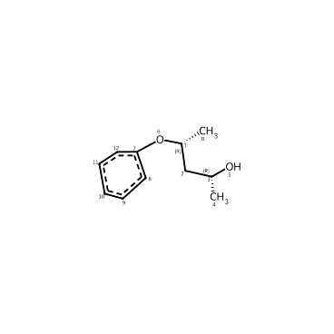 C[C@H](C[C@@H](C)O)Oc1ccccc1